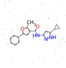 Cc1oc(-c2ccccc2)cc1C(=O)Nc1cc(C2CC2)[nH]n1